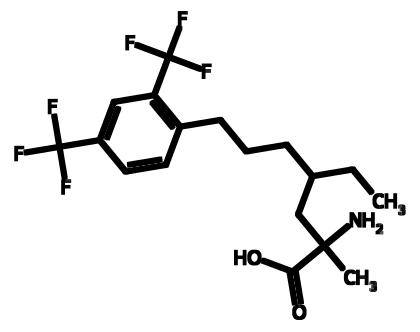 CCC(CCCc1ccc(C(F)(F)F)cc1C(F)(F)F)CC(C)(N)C(=O)O